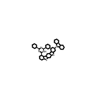 c1ccc(C2=NC(c3ccccc3)NC(c3cccc4sc5cc6sc7cc(-n8c9ccccc9c9ccccc98)ccc7c6cc5c34)=N2)cc1